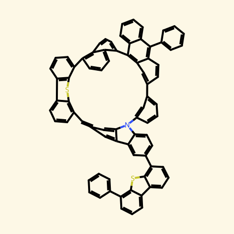 c1ccc(-c2c3ccccc3c3c4cc(ccc24)c2cccc(c2)n2c4ccc(-c5cccc6c5sc5c(-c7ccccc7)cccc56)cc4c4cc(ccc42)c2cccc4c5cccc(c6cccc7c6cccc73)c5sc24)cc1